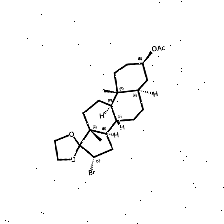 CC(=O)O[C@@H]1CC[C@]2(C)[C@H](CC[C@H]3[C@H]2CC[C@]2(C)[C@@H]3C[C@H](Br)C23OCCO3)C1